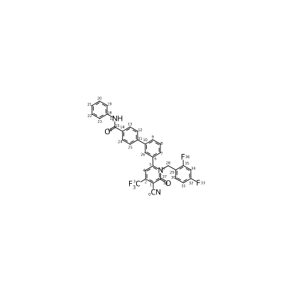 N#Cc1c(C(F)(F)F)cc(-c2cccc(-c3ccc(C(=O)Nc4ccccc4)cc3)c2)n(Cc2ccc(F)cc2F)c1=O